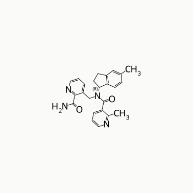 Cc1ccc2c(c1)CC[C@H]2N(Cc1cccnc1C(N)=O)C(=O)c1cccnc1C